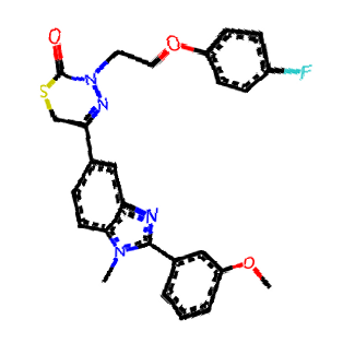 COc1cccc(-c2nc3cc(C4=NN(CCOc5ccc(F)cc5)C(=O)SC4)ccc3n2C)c1